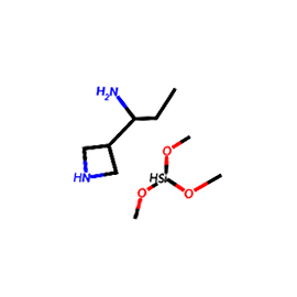 CCC(N)C1CNC1.CO[SiH](OC)OC